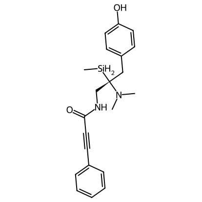 C[SiH2][C@](CNC(=O)C#Cc1ccccc1)(Cc1ccc(O)cc1)N(C)C